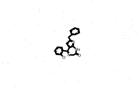 O=C1CN=C(c2ccccc2Cl)c2cc(Cc3ccccc3)sc2N1